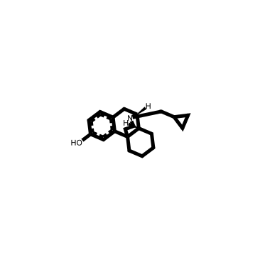 Oc1ccc2c(c1)C13CCCC[C@H]1[C@@H](C2)N(CC1CC1)CC3